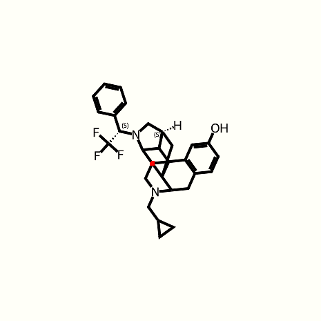 Oc1ccc2c(c1)C13CCN(CC4CC4)C(C2)C12CCC1C3[C@@H](CN1[C@@H](c1ccccc1)C(F)(F)F)C2